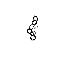 c1ccc2cc3c(cc2c1)Cc1ccc2c(oc4ccccc42)c1N3